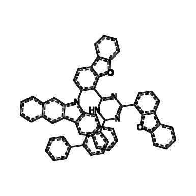 c1ccc(-c2cccc(C3N=C(c4cccc5c4oc4ccccc45)N=C(c4c(-n5c6cc7ccccc7cc6c6cc7ccccc7cc65)ccc5c4oc4ccccc45)N3)c2)cc1